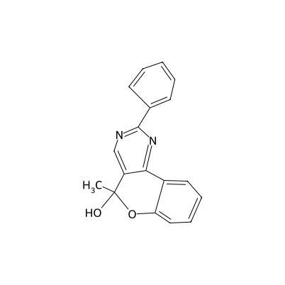 CC1(O)Oc2ccccc2-c2nc(-c3ccccc3)ncc21